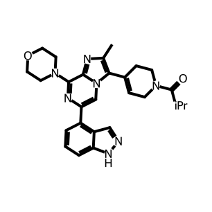 Cc1nc2c(N3CCOCC3)nc(-c3cccc4[nH]ncc34)cn2c1C1=CCN(C(=O)C(C)C)CC1